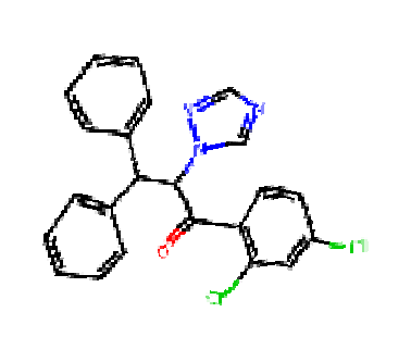 O=C(c1ccc(Cl)cc1Cl)C(C(c1ccccc1)c1ccccc1)n1cncn1